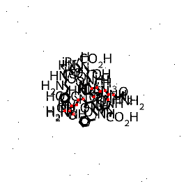 CC(C)C[C@H](NC(=O)[C@@H](N)Cc1ccc(O)cc1)C(=O)N[C@@H](CC(=O)O)C(=O)N[C@@H](CO)C(=O)N[C@@H](CCCNC(=N)N)C(=O)N[C@@H](CCCNC(=N)N)C(=O)N[C@@H](C)C(=O)N[C@@H](CCC(N)=O)C(=O)N[C@@H](CC(=O)O)C(=O)N[C@@H](Cc1ccccc1)C(=O)N[C@H](C(=O)N[C@@H](CCC(N)=O)C(=O)O)C(C)C